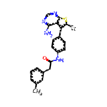 CCc1sc2ncnc(N)c2c1-c1ccc(NC(=O)Cc2cccc(C)c2)cc1